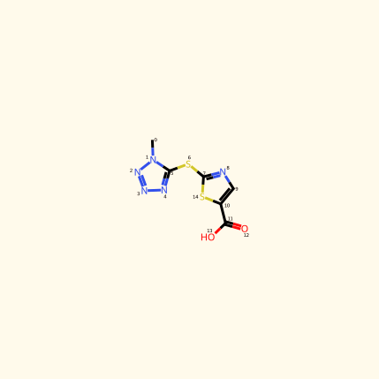 Cn1nnnc1Sc1ncc(C(=O)O)s1